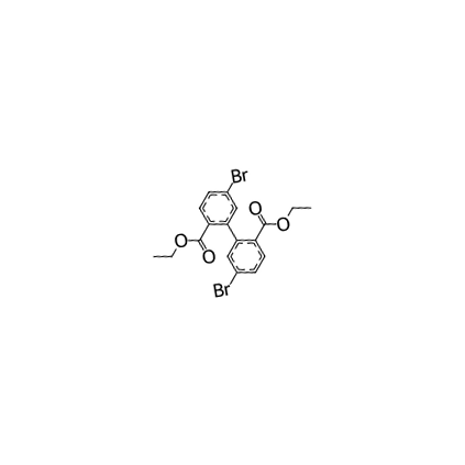 CCOC(=O)c1ccc(Br)cc1-c1cc(Br)ccc1C(=O)OCC